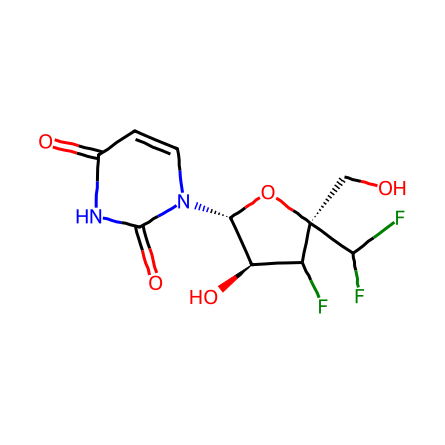 O=c1ccn([C@@H]2O[C@@](CO)(C(F)F)C(F)[C@H]2O)c(=O)[nH]1